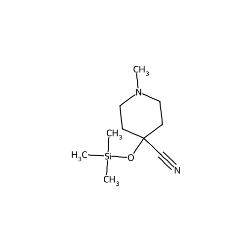 CN1CCC(C#N)(O[Si](C)(C)C)CC1